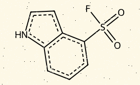 O=S(=O)(F)c1cccc2[nH]ccc12